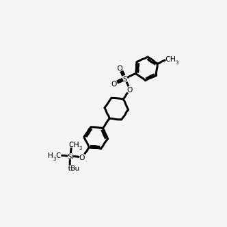 Cc1ccc(S(=O)(=O)OC2CCC(c3ccc(O[Si](C)(C)C(C)(C)C)cc3)CC2)cc1